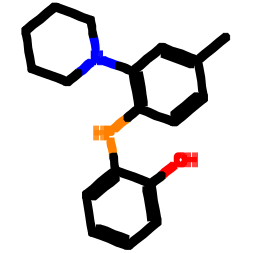 Cc1ccc(Pc2ccccc2O)c(N2CCCCC2)c1